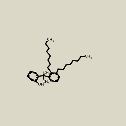 CCCCCCCCc1cccc(C(C)(C)c2ccccc2O)c1CCCCCCCC